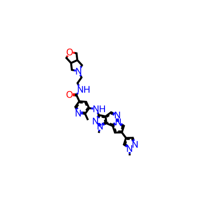 Cc1ncc(C(=O)NCCN2CC3COCC3C2)cc1Nc1nn(C)c2c1cnn1cc(-c3cnn(C)c3)cc21